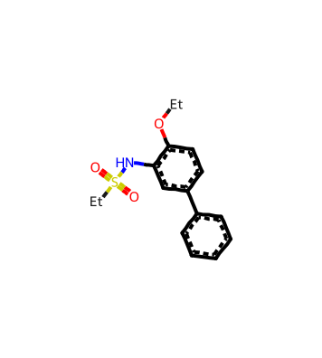 CCOc1ccc(-c2ccccc2)cc1NS(=O)(=O)CC